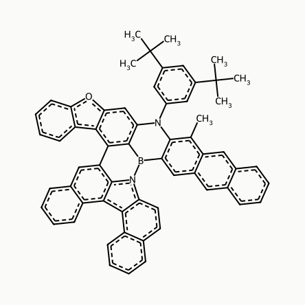 Cc1c2c(cc3cc4ccccc4cc13)B1c3c(cc4oc5ccccc5c4c3-c3cc4ccccc4c4c5c6ccccc6ccc5n1c34)N2c1cc(C(C)(C)C)cc(C(C)(C)C)c1